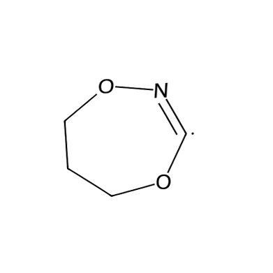 [C]1=NOCCCO1